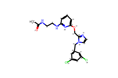 CC(=O)NCCNc1cccc(OCc2nccn2Cc2cc(Cl)cc(Cl)c2)n1